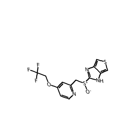 [O-][S+](Cc1cc(OCC(F)(F)F)ccn1)c1nc2cscc2[nH]1